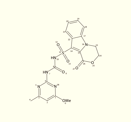 COc1cc(C)nc(NC(=O)NS(=O)(=O)c2c3n(c4ccccc24)CCOC3=O)n1